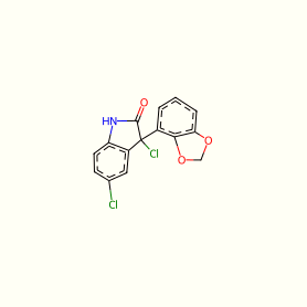 O=C1Nc2ccc(Cl)cc2C1(Cl)c1cccc2c1OCO2